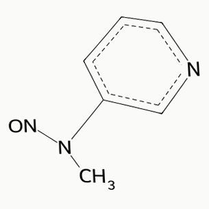 CN(N=O)c1cccnc1